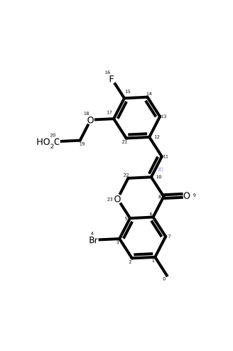 Cc1cc(Br)c2c(c1)C(=O)/C(=C/c1ccc(F)c(OCC(=O)O)c1)CO2